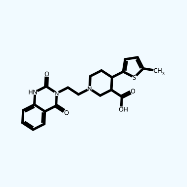 Cc1ccc(C2CCN(CCn3c(=O)[nH]c4ccccc4c3=O)CC2C(=O)O)s1